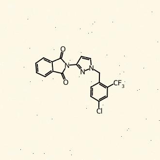 O=C1c2ccccc2C(=O)N1c1ccn(Cc2ccc(Cl)cc2C(F)(F)F)n1